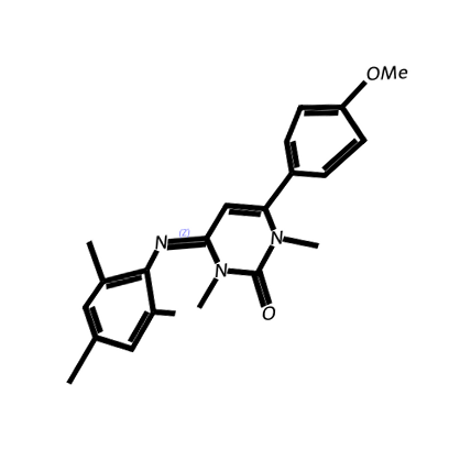 COc1ccc(-c2c/c(=N/c3c(C)cc(C)cc3C)n(C)c(=O)n2C)cc1